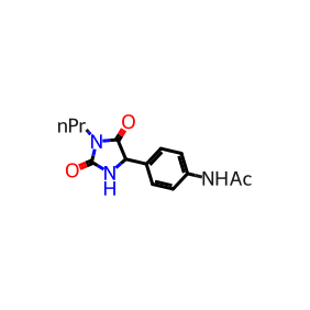 CCCN1C(=O)NC(c2ccc(NC(C)=O)cc2)C1=O